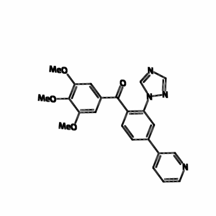 COc1cc(C(=O)c2ccc(-c3cccnc3)cc2-n2cncn2)cc(OC)c1OC